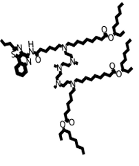 CCCCCCC(CC)OC(=O)CCCCCCCCN(CCCCCCC(=O)OC(CC)CCCCCC)CCN(C)CCN(C)CCN(C)CCN(CCCCCCCCC(=O)OC(CC)CCCCCC)CCCCCC(=O)Nc1nc2ccccc2c2sc(CCC)nc12